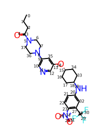 CCCC(=O)N1CCN(c2cncc(O[C@H]3CC[C@H](Nc4ccc([N+](=O)[O-])c(C(F)(F)F)c4)CC3)c2)CC1